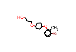 Cc1c(Br)cccc1OC1CCC(OCCCO)CC1